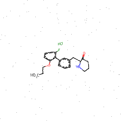 Cl.O=C(O)CCOc1cccc(F)c1-c1cccc(CC2NCCCC2=O)c1